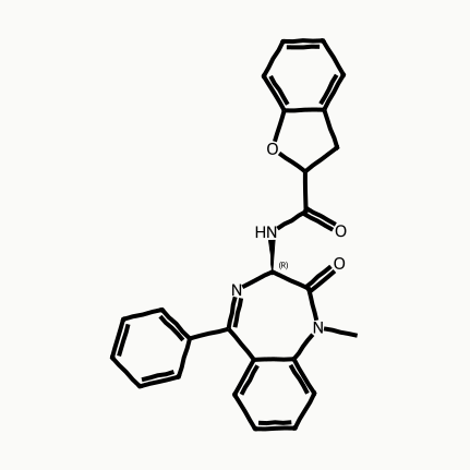 CN1C(=O)[C@H](NC(=O)C2Cc3ccccc3O2)N=C(c2ccccc2)c2ccccc21